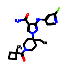 N#CCC1(n2cc(C(N)=O)c(Nc3ccnc(F)c3)n2)CCN(C(=O)C2(C(F)(F)F)CCC2)CC1